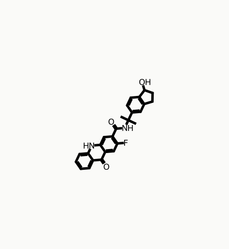 CC(C)(NC(=O)c1cc2[nH]c3ccccc3c(=O)c2cc1F)c1ccc2c(c1)CCC2O